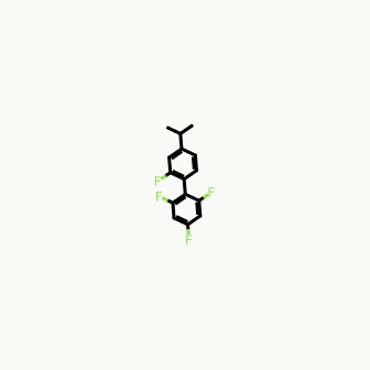 CC(C)c1ccc(-c2c(F)cc(F)cc2F)c(F)c1